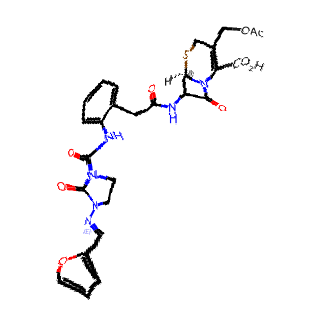 CC(=O)OCC1=C(C(=O)O)N2C(=O)C(NC(=O)Cc3ccccc3NC(=O)N3CCN(/N=C/c4ccco4)C3=O)[C@H]2SC1